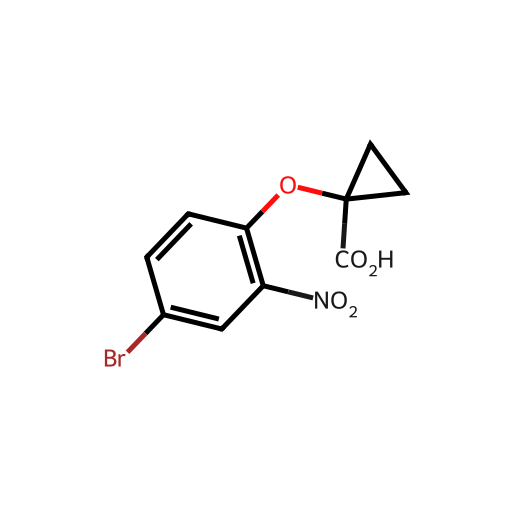 O=C(O)C1(Oc2ccc(Br)cc2[N+](=O)[O-])CC1